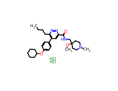 CCCCc1nnc(C(=O)NCC2(OC)CCN(C)CC2)cc1-c1ccc(OC2CCCCC2)cc1.Cl.Cl